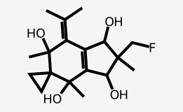 CC(C)=C1C2=C(C(O)C(C)(CF)C2O)C(C)(O)C2(CC2)C1(C)O